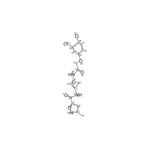 Cc1cc(C(=O)NC23CC(NC(=O)COc4ccc(Cl)c(Cl)c4)(C2)C3)on1